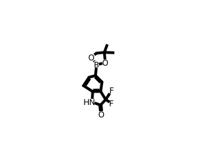 CC1(C)COB(c2ccc3c(c2)C(F)(F)C(=O)N3)O1